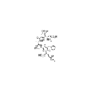 CC(C)C[C@H](NC(=O)[C@H](C)NC(=O)[C@H](CCC(=O)O)NC(=O)[C@@H](N)CC(=O)O)C(=O)N[C@@H](Cc1ccccc1)C(=O)N[C@@H](CCC(N)=O)C(=O)O